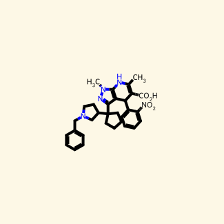 CC1=C(C(=O)O)C(c2ccccc2[N+](=O)[O-])c2c(C3(C4CCN(Cc5ccccc5)C4)CCCC3)nn(C)c2N1